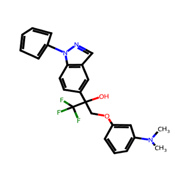 CN(C)c1cccc(OCC(O)(c2ccc3c(cnn3-c3ccccc3)c2)C(F)(F)F)c1